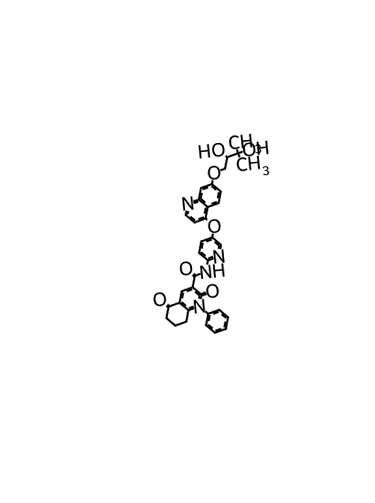 CC(C)(O)C(O)COc1ccc2c(Oc3ccc(NC(=O)c4cc5c(n(-c6ccccc6)c4=O)CCCC5=O)nc3)ccnc2c1